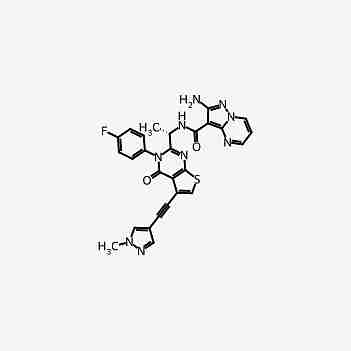 C[C@H](NC(=O)c1c(N)nn2cccnc12)c1nc2scc(C#Cc3cnn(C)c3)c2c(=O)n1-c1ccc(F)cc1